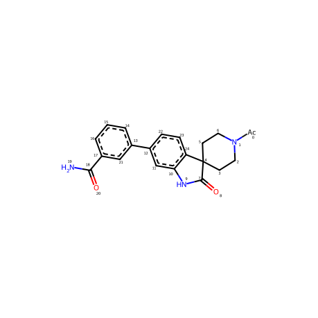 CC(=O)N1CCC2(CC1)C(=O)Nc1cc(-c3cccc(C(N)=O)c3)ccc12